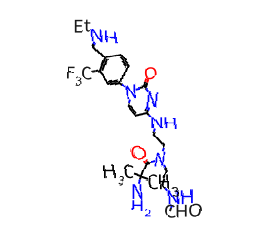 CCNCc1ccc(-n2ccc(NCCN(CCNC=O)C(=O)C(C)(C)N)nc2=O)cc1C(F)(F)F